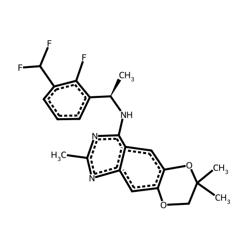 Cc1nc(N[C@H](C)c2cccc(C(F)F)c2F)c2cc3c(cc2n1)OCC(C)(C)O3